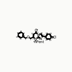 CCCCCn1c(COCc2ccccc2)cc(=O)n2cc(-c3ccc(Cl)cc3)nc12